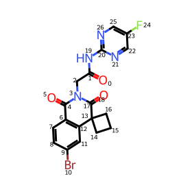 O=C(CN1C(=O)c2ccc(Br)cc2C2(CCC2)C1=O)Nc1ncc(F)cn1